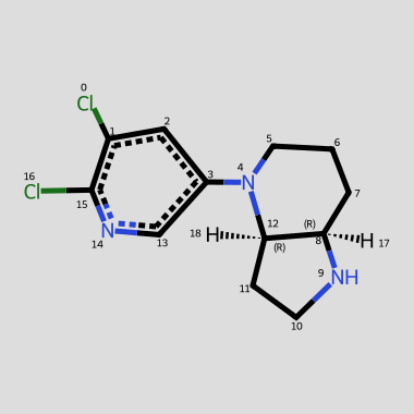 Clc1cc(N2CCC[C@H]3NCC[C@H]32)cnc1Cl